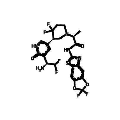 C[C@@H](C(=O)Nc1nc2cc3c(cc2s1)OC(F)(F)O3)N1CCC(F)(F)[C@@H](c2c[nH]c(=O)c([C@@H](N)C(F)F)c2)C1